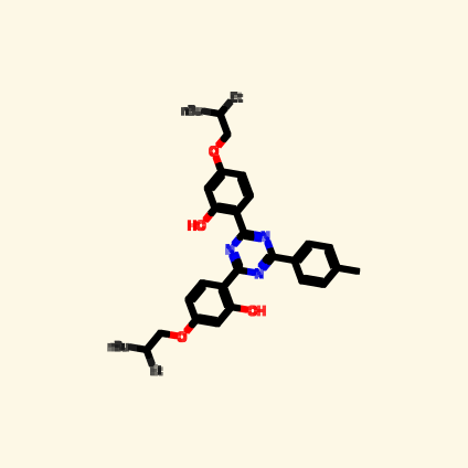 CCCCC(CC)COc1ccc(-c2nc(-c3ccc(C)cc3)nc(-c3ccc(OCC(CC)CCCC)cc3O)n2)c(O)c1